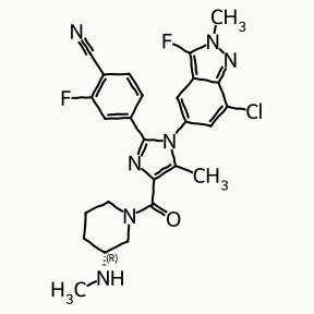 CN[C@@H]1CCCN(C(=O)c2nc(-c3ccc(C#N)c(F)c3)n(-c3cc(Cl)c4nn(C)c(F)c4c3)c2C)C1